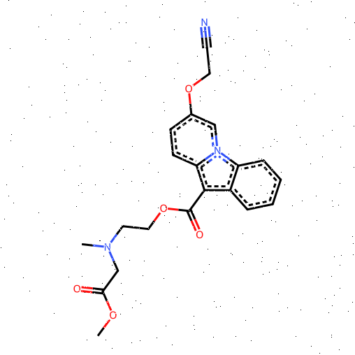 COC(=O)CN(C)CCOC(=O)c1c2ccccc2n2cc(OCC#N)ccc12